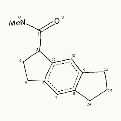 CNC(=O)C1CCc2cc3c(cc21)CCC3